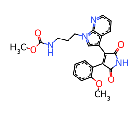 COC(=O)NCCCn1cc(C2=C(c3ccccc3OC)C(=O)NC2=O)c2cccnc21